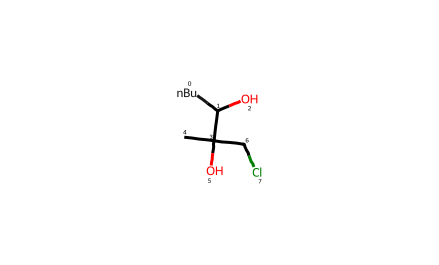 CCCCC(O)C(C)(O)CCl